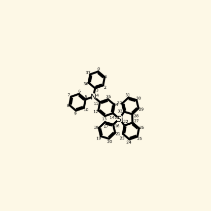 c1ccc(N(c2ccccc2)c2ccc([Si]3(c4ccccc4)c4ccccc4-c4ccccc43)cc2)cc1